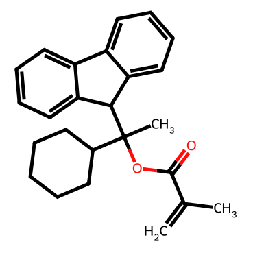 C=C(C)C(=O)OC(C)(C1CCCCC1)C1c2ccccc2-c2ccccc21